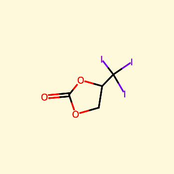 O=C1OCC(C(I)(I)I)O1